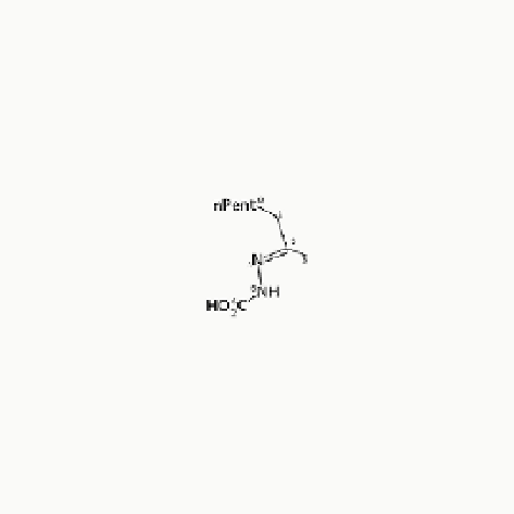 CCCCCCC(C)=NNC(=O)O